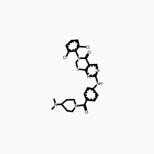 CN(C)C1CCN(C(=O)c2ccc(Nc3ncc4c(n3)SCN(c3c(Cl)cccc3Cl)C4=O)cc2)CC1